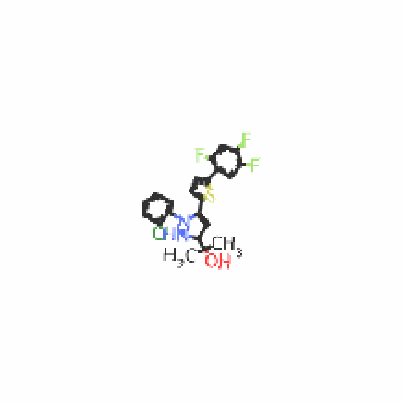 CC(C)(O)C1C=C(c2ccc(-c3cc(F)c(F)cc3F)s2)N(c2ccccc2Cl)N1